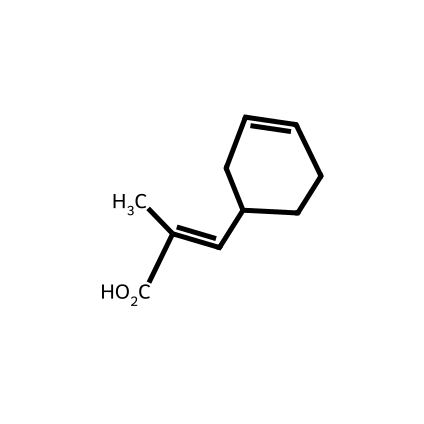 CC(=CC1CC=CCC1)C(=O)O